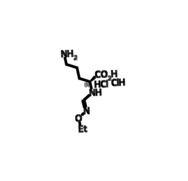 CCON=CN[C@@H](CCCN)C(=O)O.Cl.Cl